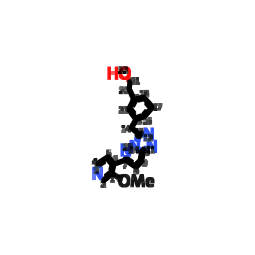 COc1cnccc1-c1ccc2nnc(Cc3cccc(CCO)c3)n2n1